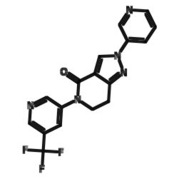 O=C1c2cn(-c3cccnc3)nc2CCN1c1cncc(C(F)(F)F)c1